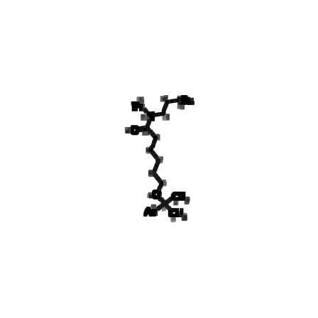 CC(=O)C(C)(C)OCCCCCC(=O)N(CCC(C)(C)C)C(C)C